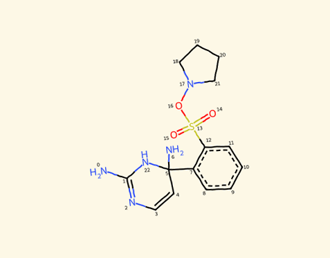 NC1=NC=CC(N)(c2ccccc2S(=O)(=O)ON2CCCC2)N1